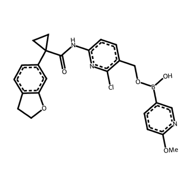 COc1ccc(B(O)OCc2ccc(NC(=O)C3(c4ccc5c(c4)OCC5)CC3)nc2Cl)cn1